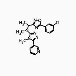 CC(c1noc(-c2cccc(Cl)c2)n1)N(C)c1nnc(-c2cccnc2)n1C